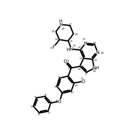 O=C(c1ccc(Oc2ccccc2)cc1Cl)c1c[nH]c2ncnc(NC3CCNCC3F)c12